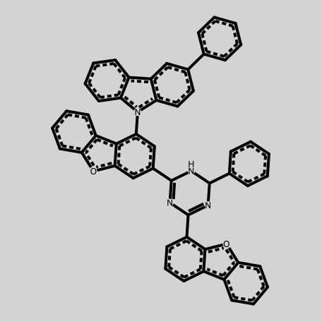 c1ccc(-c2ccc3c(c2)c2ccccc2n3-c2cc(C3=NC(c4cccc5c4oc4ccccc45)=NC(c4ccccc4)N3)cc3oc4ccccc4c23)cc1